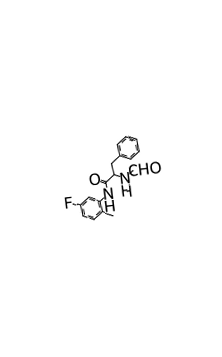 Cc1ccc(F)cc1NC(=O)C(Cc1ccccc1)NC=O